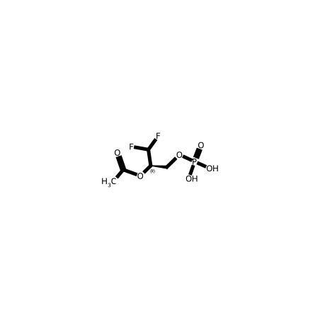 CC(=O)O[C@H](COP(=O)(O)O)C(F)F